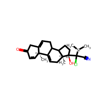 C[Si](C)C(Cl)(C#N)[C@@]1(O)CCC2C3CC=C4CC(=O)C=C[C@]4(C)C3=CC[C@@]21C